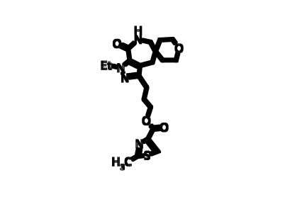 CCn1nc(CCCOC(=O)c2csc(C)n2)c2c1C(=O)NCC1(CCOCC1)C2